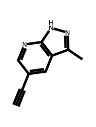 C#Cc1cnc2[nH]nc(C)c2c1